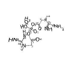 CN(CC(=O)OP(=O)(O)OC(=O)CN(C)C(=N)N)C(=N)N.O